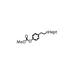 CCCCCCCCCc1ccc(OC(=O)OC)cc1